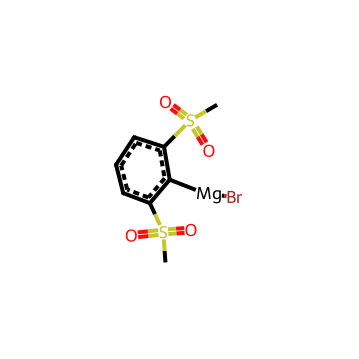 CS(=O)(=O)c1cccc(S(C)(=O)=O)[c]1[Mg][Br]